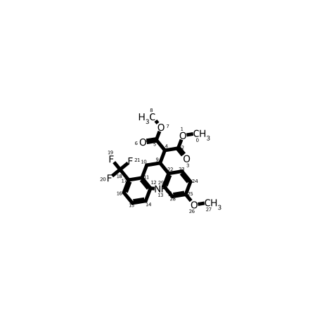 COC(=O)C(C(=O)OC)C(Cc1c(N)cccc1C(F)(F)F)c1ccc(OC)cc1